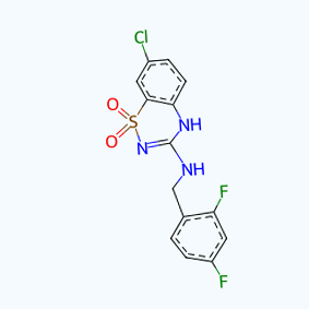 O=S1(=O)N=C(NCc2ccc(F)cc2F)Nc2ccc(Cl)cc21